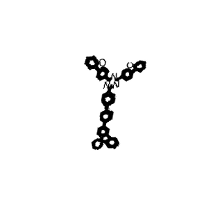 c1ccc2c(c1)-c1cc(-c3ccc(-c4ccc(-c5nc(-c6ccc7c(c6)oc6ccccc67)nc(-c6ccc7c(c6)oc6ccccc67)n5)cc4)cc3)ccc1C21CCCCC1